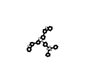 c1ccc(-c2nc(-c3ccccc3)nc(-c3ccc(N4c5ccc(-c6ccc7oc8ccccc8c7c6)cc5Oc5cc(-c6ccc7oc8ccccc8c7c6)ccc54)cc3)n2)cc1